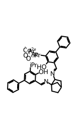 CC(=O)[O-].CC(=O)[O-].CC(C)c1cc(-c2ccccc2)cc(C=NC2CC3CCC2(N=Cc2cc(-c4ccccc4)cc(C(C)C)c2O)C3)c1O.[Co+2]